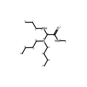 [CH2]NC(=O)C(NCCC)N(CCCC)CCCC